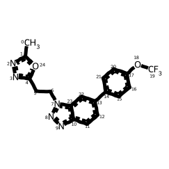 Cc1nnc(CCn2nnc3ccc(-c4ccc(OC(F)(F)F)cc4)cc32)o1